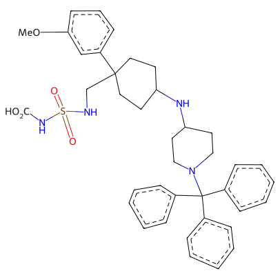 COc1cccc(C2(CNS(=O)(=O)NC(=O)O)CCC(NC3CCN(C(c4ccccc4)(c4ccccc4)c4ccccc4)CC3)CC2)c1